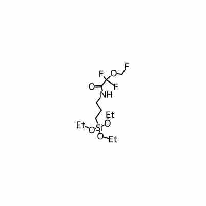 CCO[Si](CCCNC(=O)C(F)(F)OCF)(OCC)OCC